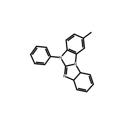 Cc1ccc2c(c1)N1C(=NC3C=CC=CC31)N2c1ccccc1